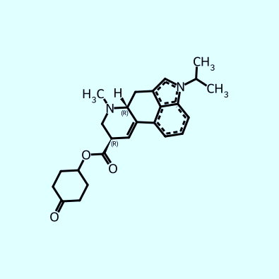 CC(C)n1cc2c3c(cccc31)C1=C[C@@H](C(=O)OC3CCC(=O)CC3)CN(C)[C@@H]1C2